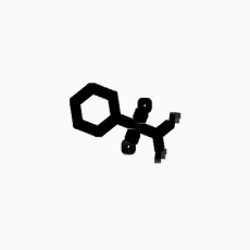 O=S(=O)([C]1CCCCC1)C(F)F